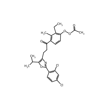 CCc1c(OOC(C)=O)ccc(C(=O)CCc2nc(-c3ccc(Cl)cc3Cl)oc2C(C)C)c1C